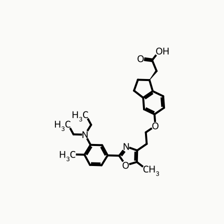 CCN(CC)c1cc(-c2nc(CCOc3ccc4c(c3)CC[C@H]4CC(=O)O)c(C)o2)ccc1C